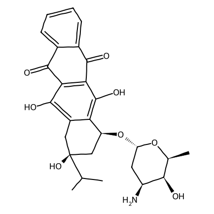 CC(C)[C@]1(O)Cc2c(O)c3c(c(O)c2[C@@H](O[C@H]2C[C@H](N)[C@H](O)[C@H](C)O2)C1)C(=O)c1ccccc1C3=O